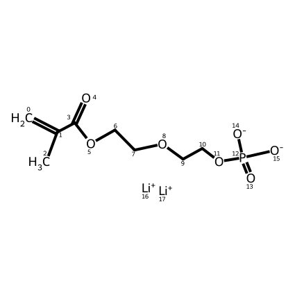 C=C(C)C(=O)OCCOCCOP(=O)([O-])[O-].[Li+].[Li+]